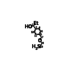 CCC(O)c1ccc(COC[SiH3])cc1